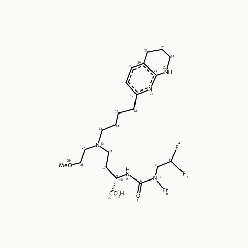 CCN(CC(F)F)C(=O)N[C@@H](CCN(CCCCc1ccc2c(n1)NCCC2)CCOC)C(=O)O